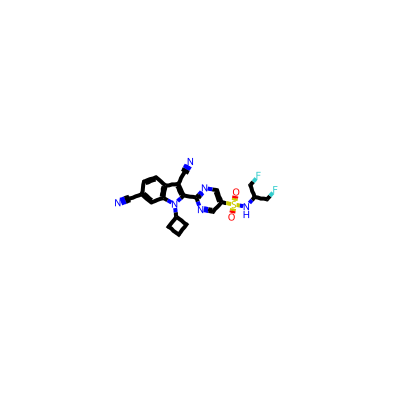 N#Cc1ccc2c(C#N)c(-c3ncc(S(=O)(=O)NC(CF)CF)cn3)n(C3CCC3)c2c1